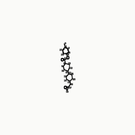 Cc1ccc(OC(=O)C2CCC(C3CCC(CC4CO4)CC3)CC2)cc1